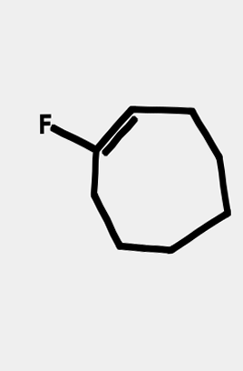 F/C1=C/CCCCCC1